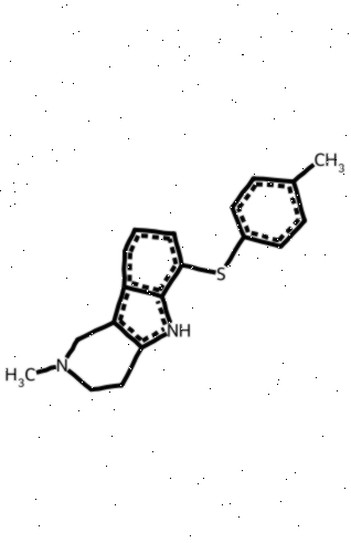 Cc1ccc(Sc2cccc3c4c([nH]c23)CCN(C)C4)cc1